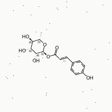 C[C@@H]1O[C@@H](OC(=O)/C=C/c2ccc(O)cc2)[C@H](O)[C@H](O)[C@H]1O